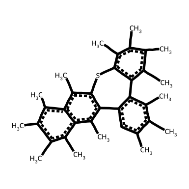 Cc1cc2c(c(C)c1C)-c1c(C)c(C)c(C)c(C)c1Sc1c-2c(C)c2c(C)c(C)c(C)c(C)c2c1C